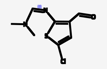 CN(C)/C=N\c1sc(Cl)cc1C=O